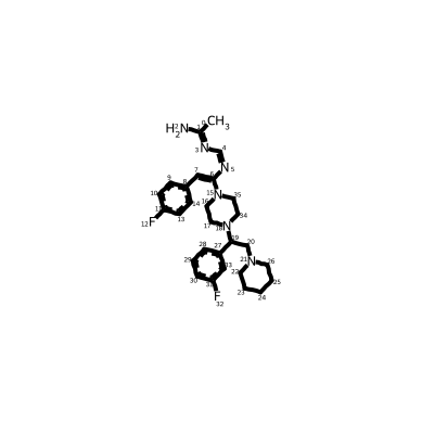 C\C(N)=N/C=N\C(=C\c1ccc(F)cc1)N1CCN(C(CN2CCCCC2)c2cccc(F)c2)CC1